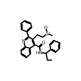 CCC(NC(=O)c1c(CC[S+](C)[O-])c(-c2ccccc2)nc2ccccc12)c1ccccc1